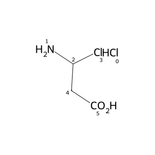 Cl.NC(Cl)CC(=O)O